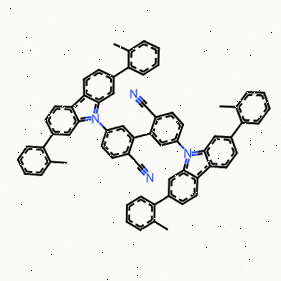 Cc1ccccc1-c1ccc2c3ccc(-c4ccccc4C)cc3n(-c3ccc(C#N)c(-c4cc(-n5c6cc(-c7ccccc7C)ccc6c6ccc(-c7ccccc7C)cc65)ccc4C#N)c3)c2c1